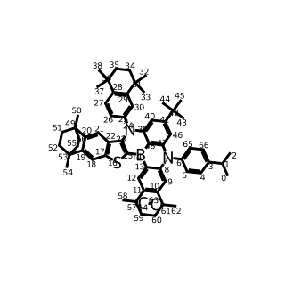 CC(C)c1ccc(N2c3cc4c(cc3B3c5sc6cc7c(cc6c5N(c5ccc6c(c5)C(C)(C)CCC6(C)C)c5cc(C(C)(C)C)cc2c53)C2(C)CCC7(C)CC2)C2(C)CCC4(C)CC2)cc1